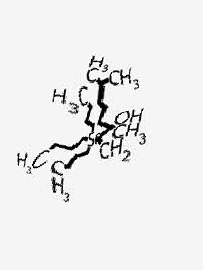 C=[C](C(C)(O)CCC=C(C)C)[Sn]([CH2]CCC)([CH2]CCC)[CH2]CCC